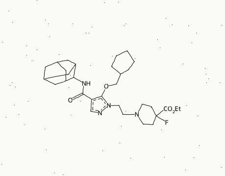 CCOC(=O)C1(F)CCN(CCn2ncc(C(=O)NC3C4CC5CC(C4)CC3C5)c2OCC2CCCCC2)CC1